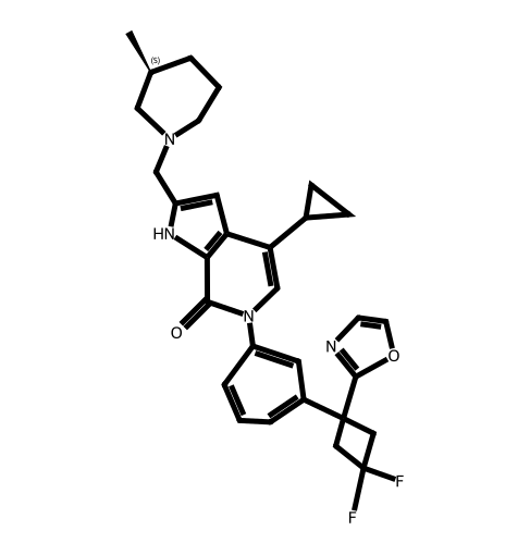 C[C@H]1CCCN(Cc2cc3c(C4CC4)cn(-c4cccc(C5(c6ncco6)CC(F)(F)C5)c4)c(=O)c3[nH]2)C1